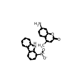 Cc1cc(=O)oc2cc(N)ccc12.O=[N+]([O-])c1cccc2c1[nH]c1ccccc12